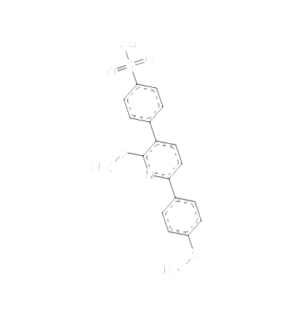 CSc1ccc(-c2ccc(-c3ccc(S(C)(=O)=O)cc3)c(SC)n2)cc1